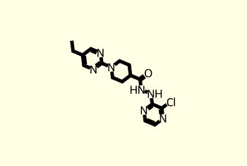 CCc1cnc(N2CCC(C(=O)NNc3nccnc3Cl)CC2)nc1